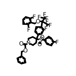 O=C(OCc1ccccc1)N1CCC(c2ccc(C(OCc3c(F)cccc3F)(C(F)(F)F)C(F)(F)F)cc2)(S(=O)(=O)c2ccc(F)cc2)CC1